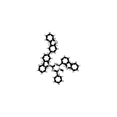 C=N/C(=N\C(=N/Cc1cccc2c1sc1ccccc12)n1c2ccccc2c2ccc(-c3ccc4oc5ccccc5c4c3)cc21)c1ccccc1